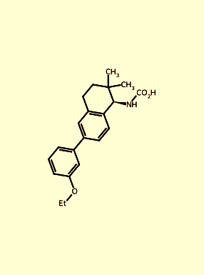 CCOc1cccc(-c2ccc3c(c2)CCC(C)(C)[C@H]3NC(=O)O)c1